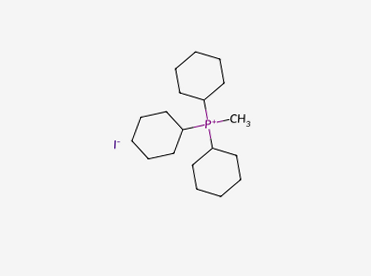 C[P+](C1CCCCC1)(C1CCCCC1)C1CCCCC1.[I-]